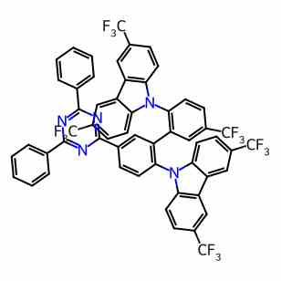 FC(F)(F)c1ccc(-n2c3ccc(C(F)(F)F)cc3c3cc(C(F)(F)F)ccc32)c(-c2cc(-c3nc(-c4ccccc4)nc(-c4ccccc4)n3)ccc2-n2c3ccc(C(F)(F)F)cc3c3cc(C(F)(F)F)ccc32)c1